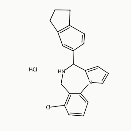 Cl.Clc1cccc2c1CNC(c1ccc3c(c1)CCC3)c1cccn1-2